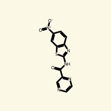 O=C(Nc1nc2ccc([N+](=O)[O-])cc2s1)c1cnccn1